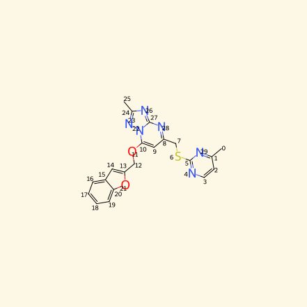 Cc1ccnc(SCc2cc(OCc3cc4ccccc4o3)n3nc(C)nc3n2)n1